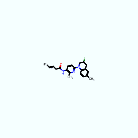 Cc1ccc2c(c1)CC(F)CN2c1ccc(NC(=O)C/C=C/C(C)C)c(C)n1